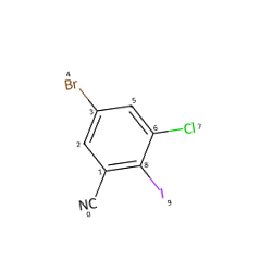 N#Cc1cc(Br)cc(Cl)c1I